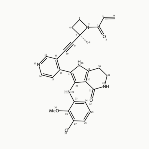 C=CC(=O)N1CC[C@]1(C)C#Cc1cnccc1-c1[nH]c2c(c1Nc1cccc(Cl)c1OC)C(=O)NCC2